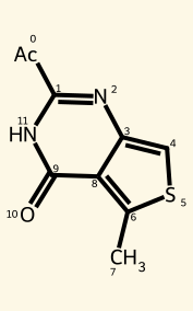 CC(=O)c1nc2csc(C)c2c(=O)[nH]1